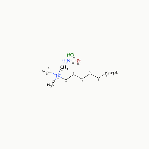 CCCCCCCCCCCC[N+](C)(C)C.Cl.NBr